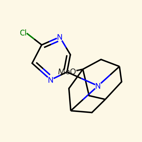 COC12CC3CC(C1)N(c1cnc(Cl)cn1)C(C3)C2